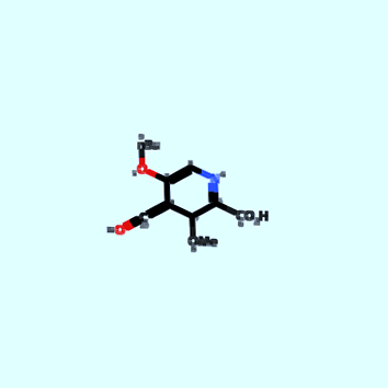 CCCCOC1=CN=C(C(=O)O)C(OC)C1=C=O